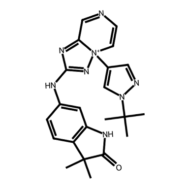 CC1(C)C(=O)Nc2cc(NC3=N[N+]4(c5cnn(C(C)(C)C)c5)C=CN=CC4=N3)ccc21